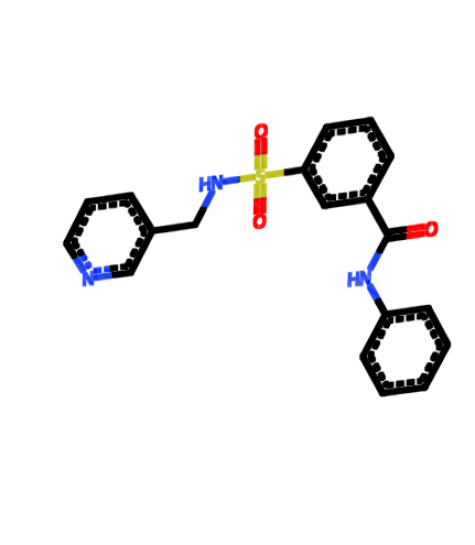 O=C(Nc1ccccc1)c1cccc(S(=O)(=O)NCc2cccnc2)c1